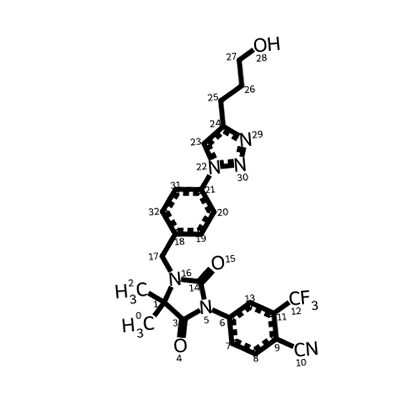 CC1(C)C(=O)N(c2ccc(C#N)c(C(F)(F)F)c2)C(=O)N1Cc1ccc(-n2cc(CCCO)nn2)cc1